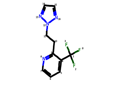 FC(F)(F)c1cccnc1CCn1nccn1